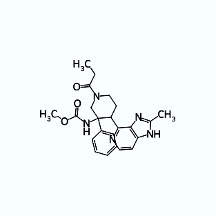 CCC(=O)N1CCC(c2nccc3[nH]c(C)nc23)C(NC(=O)OC)(c2ccccc2)C1